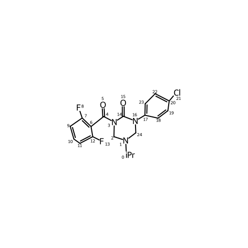 CC(C)N1CN(C(=O)c2c(F)cccc2F)C(=O)N(c2ccc(Cl)cc2)C1